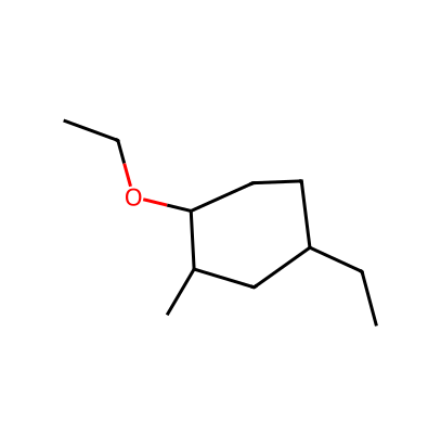 CCOC1CCC(CC)CC1C